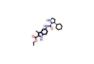 CCOC(=O)c1[nH]c2ccc(NC(=O)[C@H]3NCC[C@H]3C3CCCCC3)cc2c1C